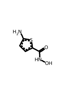 Nc1ccc(C(=O)NO)s1